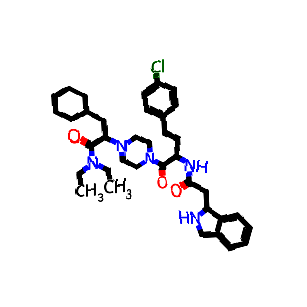 CCN(CC)C(=O)C(CC1CCCCC1)N1CCN(C(=O)C(CCc2ccc(Cl)cc2)NC(=O)CC2NCc3ccccc32)CC1